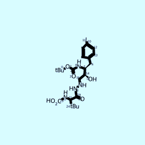 CC(C)(C)OC(=O)N[C@@H](Cc1ccc(I)cc1)[C@@H](O)CNNC(=O)C(NC(=O)O)C(C)(C)C